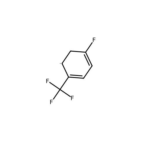 FC1=CC=C(C(F)(F)F)[CH]C1